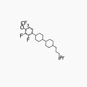 CC(C)CCCC1CCC(C2CCC(c3ccc(OC(F)(F)F)c(F)c3F)CC2)CC1